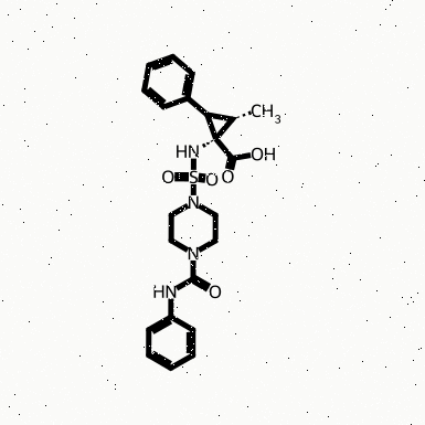 C[C@H]1C(c2ccccc2)[C@]1(NS(=O)(=O)N1CCN(C(=O)Nc2ccccc2)CC1)C(=O)O